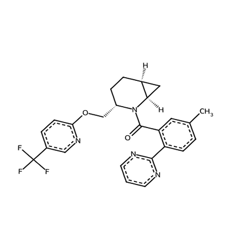 Cc1ccc(-c2ncccn2)c(C(=O)N2[C@H](COc3ccc(C(F)(F)F)cn3)CC[C@H]3C[C@H]32)c1